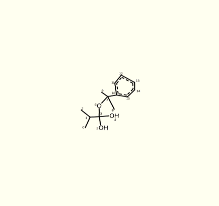 CC(C)C(O)(O)OC(C)(C)c1ccccc1